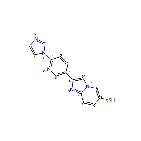 Sc1ccc2nc(-c3ccc(-n4ccnc4)nc3)cn2c1